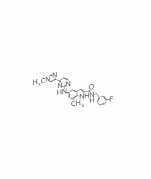 Cc1cc(Nc2nccc(-c3cn(C)cn3)n2)cc2cc(C(=O)NCc3cccc(F)c3)[nH]c12